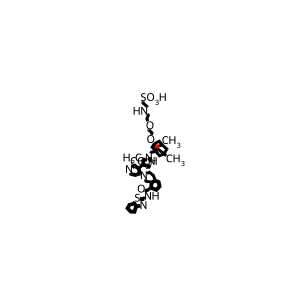 Cc1c(-c2c(N3CCc4cccc(C(=O)Nc5nc6ccccc6s5)c4C3)ccnc2C(=O)O)cnn1CC12CC3(C)CC(C)(C1)CC(OCCOCCNCCS(=O)(=O)O)(C3)C2